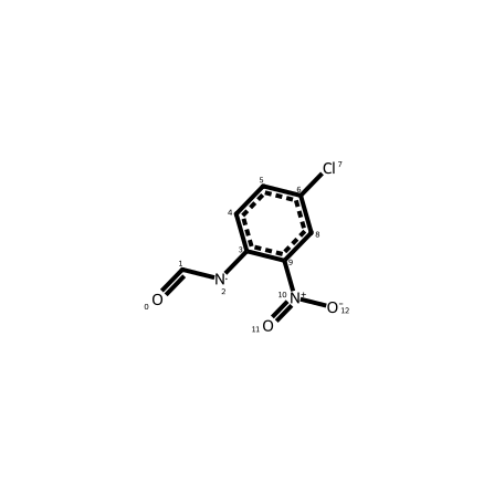 O=C[N]c1ccc(Cl)cc1[N+](=O)[O-]